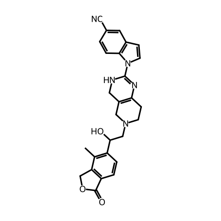 Cc1c(C(O)CN2CCC3=C(CNC(n4ccc5cc(C#N)ccc54)=N3)C2)ccc2c1COC2=O